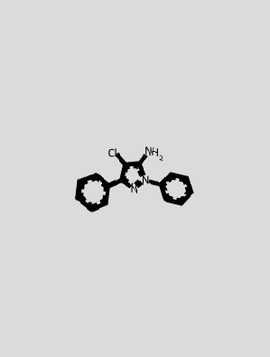 Nc1c(Cl)c(-c2ccccc2)nn1-c1ccccc1